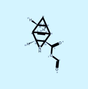 O=COC(=O)[C@@]12N[C@H]1C1C=CC2[C@@H]2C[C@@H]12